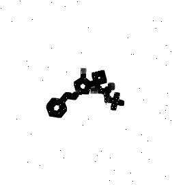 CC(C)(C)OC(=O)NC1(C2CN(C=Cc3ccccc3)CC2F)CCC1